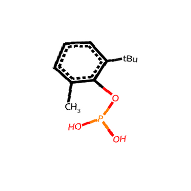 Cc1cccc(C(C)(C)C)c1OP(O)O